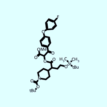 COC(=O)C(OC(=O)C(CCO[Si](C)(C)C(C)(C)C)C1CCN(C(=O)OC(C)(C)C)CC1)C(=O)c1ccc(Oc2ccc(F)cc2)cc1